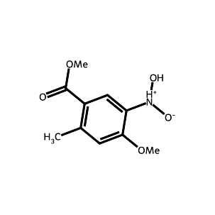 COC(=O)c1cc([NH+]([O-])O)c(OC)cc1C